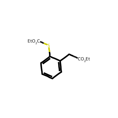 CCOC(=O)Cc1ccccc1SC(=O)OCC